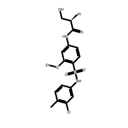 CCOc1cc(NC(=O)[C@@H](CO)C(C)C)ccc1S(=O)(=O)Nc1ccc(C)c(Cl)c1